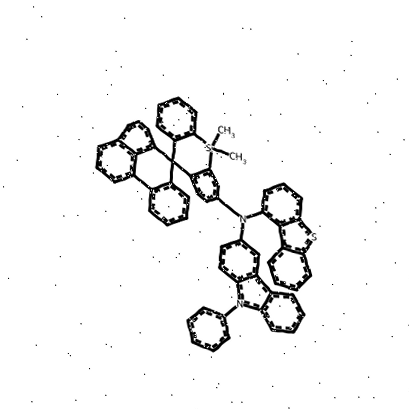 C[Si]1(C)c2ccccc2C2(c3ccccc3-c3cccc4cccc2c34)c2ccc(N(c3ccc4c(c3)c3ccccc3n4-c3ccccc3)c3cccc4sc5ccccc5c34)cc21